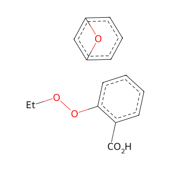 CCOOc1ccccc1C(=O)O.c1cc2cc(c1)O2